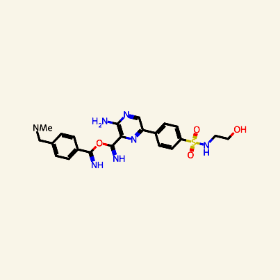 CNCc1ccc(C(=N)OC(=N)c2nc(-c3ccc(S(=O)(=O)NCCO)cc3)cnc2N)cc1